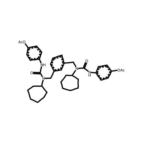 CC(=O)Oc1ccc(NC(=O)N(Cc2cccc(CN(C(=O)Nc3ccc(OC(C)=O)cc3)C3CCCCCC3)c2)C2CCCCCC2)cc1